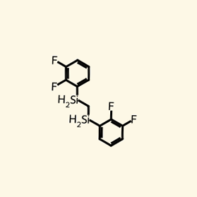 Fc1cccc([SiH2]C[SiH2]c2cccc(F)c2F)c1F